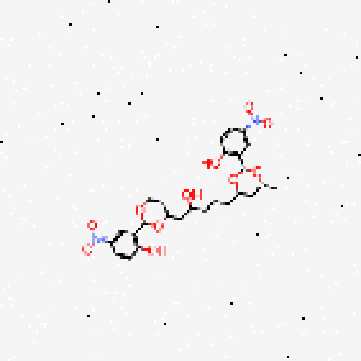 CC1CC(CCCC(O)CC2CCOC(c3cc([N+](=O)[O-])ccc3O)O2)OC(c2cc([N+](=O)[O-])ccc2O)O1